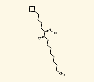 CCCCCCCCOC(=O)C(CCCCC1CCC1)=NO